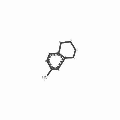 Oc1ccc2c(c1)CCC[CH]2